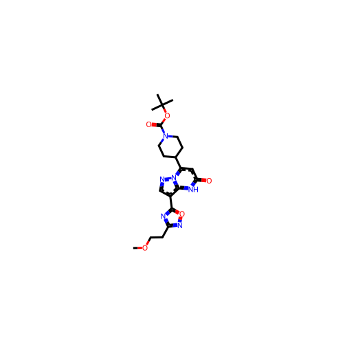 COCCc1noc(-c2cnn3c(C4CCN(C(=O)OC(C)(C)C)CC4)cc(=O)[nH]c23)n1